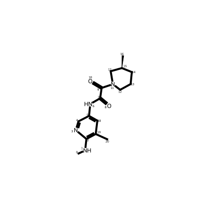 CNc1ncc(NC(=O)C(=O)N2CCC[C@H](C)C2)cc1C